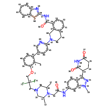 Cc1c(OCC(F)(F)CN2CC(C)N(CC(=O)Nc3ccc4c(C5CCC(=O)NC5=O)nn(C)c4c3)C(C)C2)cccc1-c1ccc(N2CCc3cccc(C(=O)Nc4nc5ccccc5s4)c3C2)nc1